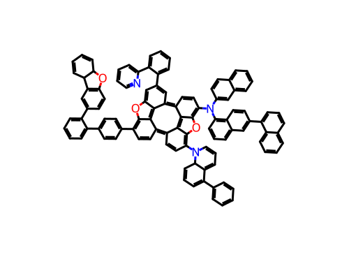 C1=CC2Oc3ccc(-c4ccccc4-c4ccc(-c5ccc6c7ccc(N8C=CC=C9C(c%10ccccc%10)=CC=CC98)c8oc9c(N(c%10ccc%11ccccc%11c%10)c%10cccc%11cc(-c%12cccc%13ccccc%12%13)ccc%10%11)ccc(c%10cc(-c%11ccccc%11-c%11ccccn%11)cc%11oc5c6c%11%10)c9c87)cc4)cc3C2C=C1